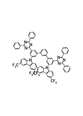 FC(F)(F)c1ccc2c(c1)c1cc(C(F)(F)F)ccc1n2-c1cc(-c2cccc(-c3cc(-c4nc(-c5ccccc5)nc(-c5ccccc5)n4)cc(-n4c5ccc(C(F)(F)F)cc5c5cc(C(F)(F)F)ccc54)c3)c2)cc(-c2nc(-c3ccccc3)nc(-c3ccccc3)n2)c1